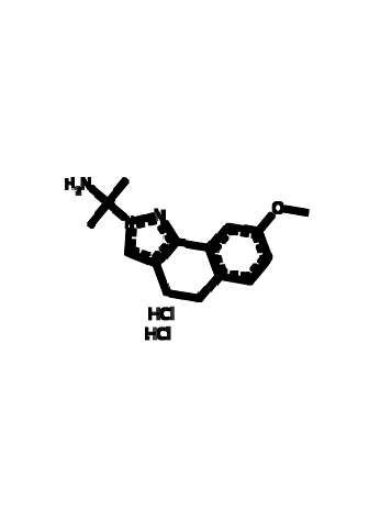 COc1ccc2c(c1)-c1nn(C(C)(C)N)cc1CC2.Cl.Cl